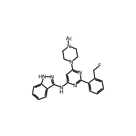 CC(=O)N1CCN(c2cc(Nc3n[nH]c4ccccc34)nc(-c3ccccc3CF)n2)CC1